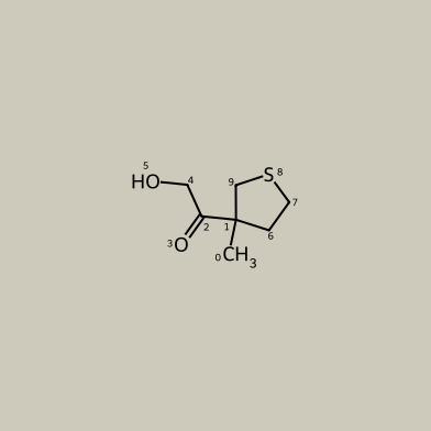 CC1(C(=O)CO)CCSC1